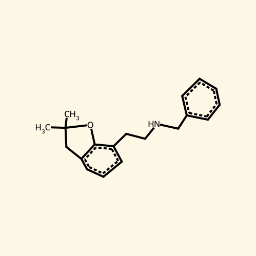 CC1(C)Cc2cccc(CCNCc3ccccc3)c2O1